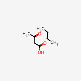 CC(=O)CC(=O)O.CCCC